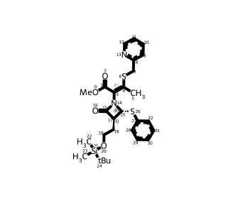 COC(=O)/C(=C(/C)SCc1ccccn1)N1C(=O)[C@H](CCO[Si](C)(C)C(C)(C)C)[C@H]1Sc1ccccc1